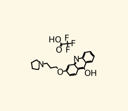 O=C(O)C(F)(F)F.Oc1c2ccccc2nc2cc(OCCCN3CCCC3)ccc12